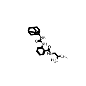 CC(C)CNC(=O)c1ccccc1NC(=O)NC1C2CC3CC(C2)CC1C3